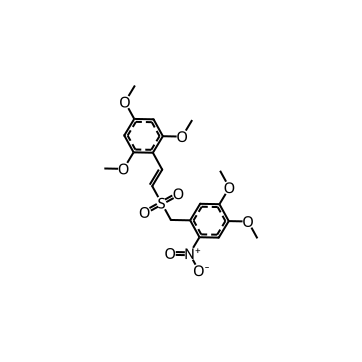 COc1cc(OC)c(C=CS(=O)(=O)Cc2cc(OC)c(OC)cc2[N+](=O)[O-])c(OC)c1